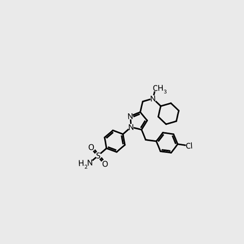 CN(Cc1cc(Cc2ccc(Cl)cc2)n(-c2ccc(S(N)(=O)=O)cc2)n1)C1CCCCC1